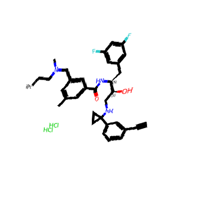 C#Cc1cccc(C2(NC[C@H](O)[C@H](Cc3cc(F)cc(F)c3)NC(=O)c3cc(C)cc(CN(C)CCC(C)C)c3)CC2)c1.Cl.Cl